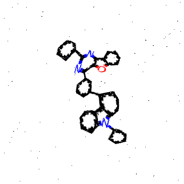 c1ccc(-c2nc(-c3cccc(-c4cccc5c4c4ccccc4n5-c4ccccc4)c3)c3oc4ccccc4c3n2)cc1